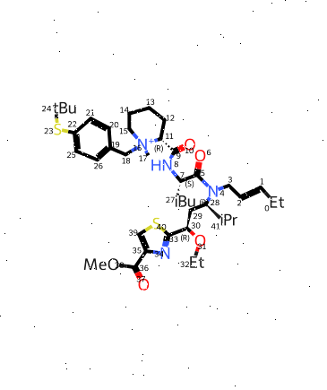 CCC=CCN(C(=O)[C@@H](NC(=O)[C@H]1CCCC[N+]1(C)Cc1ccc(SC(C)(C)C)cc1)C(C)CC)[C@H](C[C@@H](OCC)c1nc(C(=O)OC)cs1)C(C)C